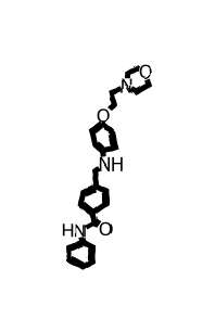 O=C(Nc1ccccc1)c1ccc(CNc2ccc(OCCN3CCOCC3)cc2)cc1